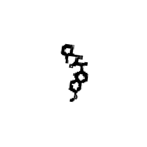 COc1ccc2cc(C(C)C(=O)Nc3ncccc3C)ccc2c1